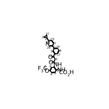 O=C(O)Nc1ccc(OC(F)(F)F)cc1NC(=O)CC(=O)c1cccc(-c2ccc(C3CC3)nc2)c1